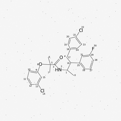 CC(NC(=O)C(C)(C)Oc1cccc(Cl)c1)C(Cc1ccc(Cl)cc1)c1cccc(F)c1